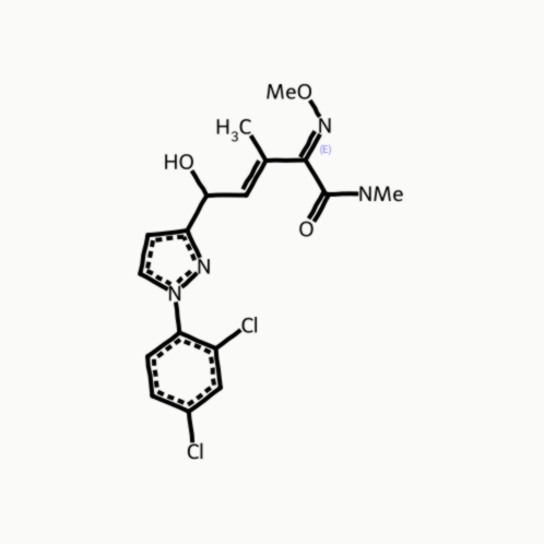 CNC(=O)/C(=N/OC)C(C)=CC(O)c1ccn(-c2ccc(Cl)cc2Cl)n1